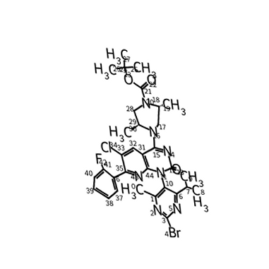 Cc1nc(Br)nc(C(C)C)c1-n1c(=O)nc(N2C[C@@H](C)N(C(=O)OC(C)(C)C)C[C@@H]2C)c2cc(Cl)c(-c3ccccc3F)nc21